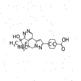 C[C@@H]1Cn2nc(C34CCC(C(=O)O)(CC3)CC4)cc2-c2cnnc([C@](C)(O)C(F)(F)F)c21